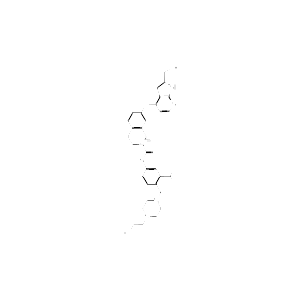 C[C@H]1c2cc(Oc3ccnc4[nH]c(CO)cc34)ccc2CCN1C(=O)Nc1ccc(CN2CCN(CCO)CC2)c(C(F)F)c1